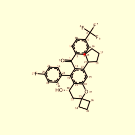 O=C(c1ccc(C(F)(F)F)cc1)c1c(C2CCCC2)cc2c(c1-c1ccc(F)cc1)[C@@H](O)CC1(CCC1)O2